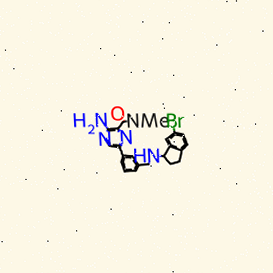 CNC(=O)c1nc(-c2cccc(CNC3CCc4ccc(Br)cc43)c2)cnc1N